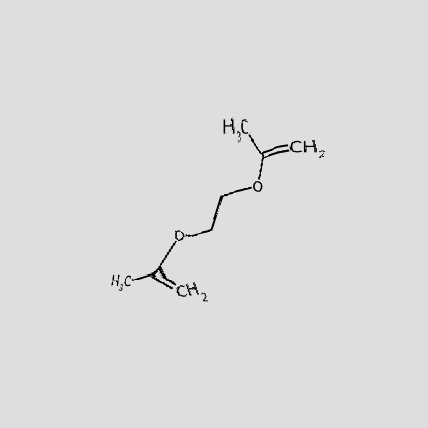 C=C(C)OCCOC(=C)C